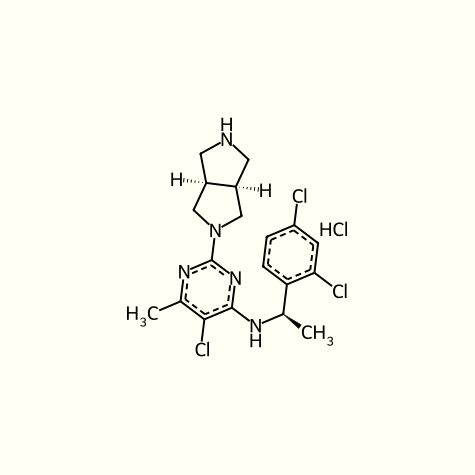 Cc1nc(N2C[C@H]3CNC[C@H]3C2)nc(N[C@H](C)c2ccc(Cl)cc2Cl)c1Cl.Cl